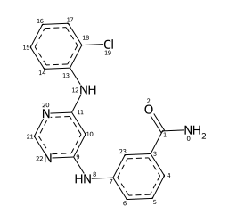 NC(=O)c1cccc(Nc2cc(Nc3ccccc3Cl)ncn2)c1